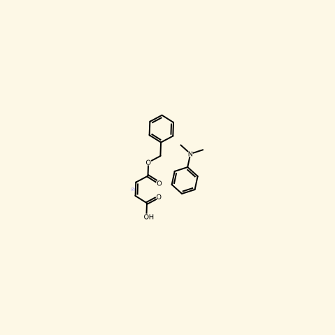 CN(C)c1ccccc1.O=C(O)/C=C\C(=O)OCc1ccccc1